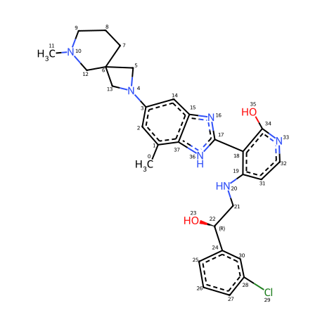 Cc1cc(N2CC3(CCCN(C)C3)C2)cc2nc(-c3c(NC[C@H](O)c4cccc(Cl)c4)ccnc3O)[nH]c12